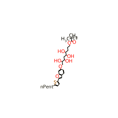 CCCCCc1ccc(-c2cc3ccc(OCC(O)C(O)CC(O)C(O)CCCOC(=O)C(C)(C)CC)cc3o2)s1